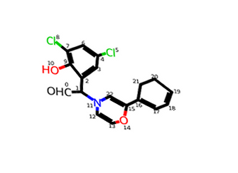 O=CC(c1cc(Cl)cc(Cl)c1O)N1C=COC(C2=CC=CCC2)=C1